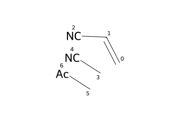 C=CC#N.CC#N.CC(C)=O